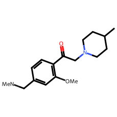 CNCc1ccc(C(=O)CN2CCC(C)CC2)c(OC)c1